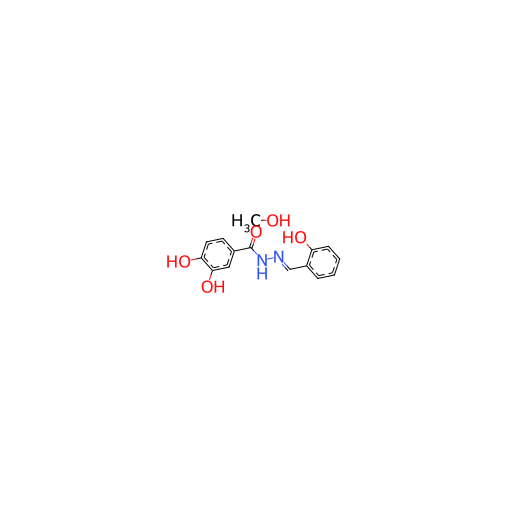 CO.O=C(NN=Cc1ccccc1O)c1ccc(O)c(O)c1